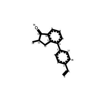 C=Cc1ccc(-c2cccc3c2CC(C)C3=O)cc1